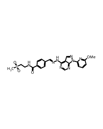 COc1cccc(-n2ncc3c(N/N=C/c4ccc(C(=O)NCCS(C)(=O)=O)cc4)ncnc32)n1